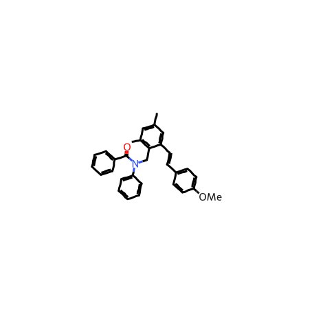 COc1ccc(/C=C/c2cc(C)cc(C)c2CN(C(=O)c2ccccc2)c2ccccc2)cc1